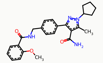 COc1ccccc1C(=O)NCc1ccc(-c2nn(C3CCCC3)c(C)c2C(N)=O)cc1